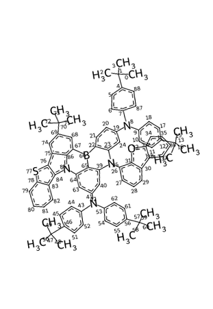 CC(C)(C)c1ccc(N(c2ccc(C(C)(C)C)cc2)c2ccc3c(c2)N(c2cccc4c2oc2ccccc24)c2cc(N(c4ccc(C(C)(C)C)cc4)c4ccc(C(C)(C)C)cc4)cc4c2B3c2cc(C(C)(C)C)cc3c5sc6ccccc6c5n-4c23)cc1